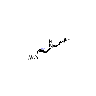 CN/C=C/NCC(C)C